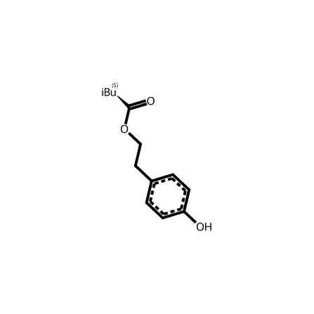 CC[C@H](C)C(=O)OCCc1ccc(O)cc1